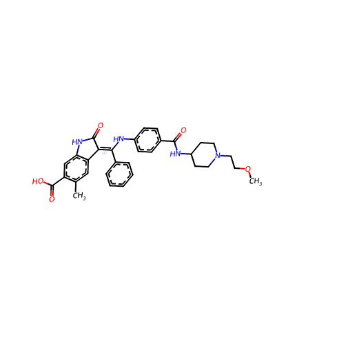 COCCN1CCC(NC(=O)c2ccc(N/C(=C3\C(=O)Nc4cc(C(=O)O)c(C)cc43)c3ccccc3)cc2)CC1